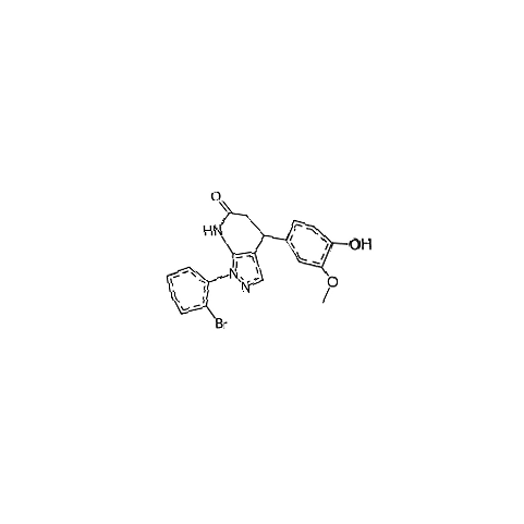 COc1cc(C2CC(=O)Nc3c2cnn3-c2ccccc2Br)ccc1O